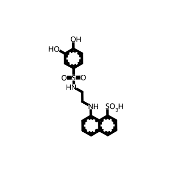 O=S(=O)(O)c1cccc2cccc(NCCNS(=O)(=O)c3ccc(O)c(O)c3)c12